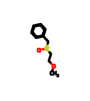 COCC[S+]([O-])Cc1ccccc1